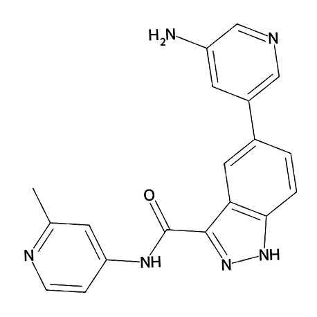 Cc1cc(NC(=O)c2n[nH]c3ccc(-c4cncc(N)c4)cc23)ccn1